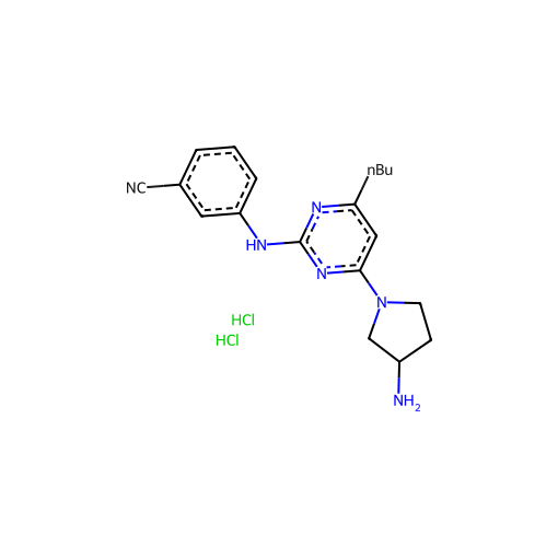 CCCCc1cc(N2CCC(N)C2)nc(Nc2cccc(C#N)c2)n1.Cl.Cl